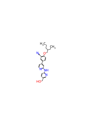 CCCC(CC)COc1ccc(-c2ccnc(Nc3ccc(CO)cn3)c2)cc1C#N